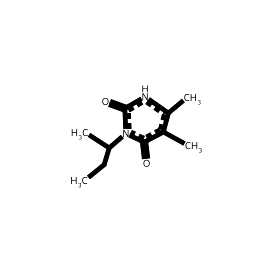 CCC(C)n1c(=O)[nH]c(C)c(C)c1=O